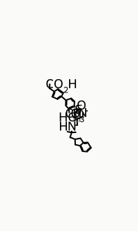 CN(C[C@H](O)CNC(C)(C)CC1Cc2ccccc2C1)S(=O)(=O)c1ccc(-c2ccc(CC(=O)O)cc2)cc1C(F)(F)F